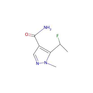 CC(F)c1c(C(N)=O)cnn1C